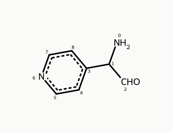 NC(C=O)c1ccncc1